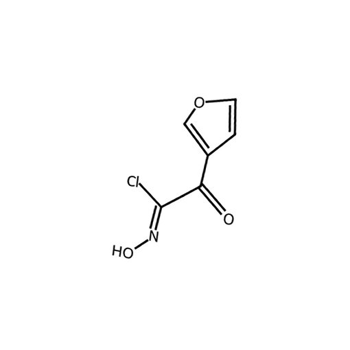 O=C(C(Cl)=NO)c1ccoc1